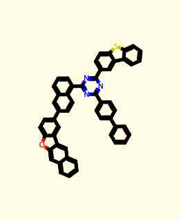 c1ccc(-c2ccc(-c3nc(-c4ccc5sc6ccccc6c5c4)nc(-c4cccc5cc(-c6ccc7oc8cc9ccccc9cc8c7c6)ccc45)n3)cc2)cc1